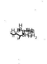 BBBB(BB)BC(C)CCC